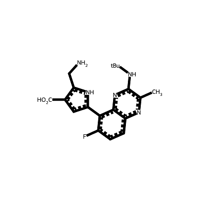 Cc1nc2ccc(F)c(-c3cc(C(=O)O)c(CN)[nH]3)c2nc1NC(C)(C)C